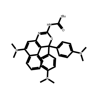 CN(C)c1ccc(C2(c3ccc(N(C)C)cc3)SC(NC(=O)C(C)(C)C)=Nc3cc(N(C)C)c4ccccc4c32)cc1